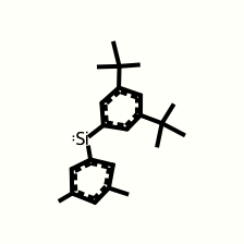 Cc1cc(C)cc([Si]c2cc(C(C)(C)C)cc(C(C)(C)C)c2)c1